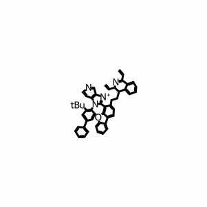 C=CC1=NC(C=C)C(CCc2ccc3c(oc4ccccc43)c2-c2n(-c3ccc(-c4ccccc4)cc3C(C)(C)C)c3ccncc3[n+]2C)c2ccccc21